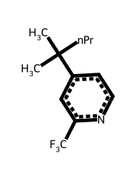 CCCC(C)(C)c1ccnc(C(F)(F)F)c1